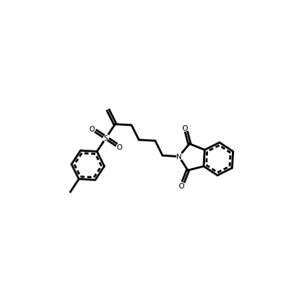 C=C(CCCCN1C(=O)c2ccccc2C1=O)S(=O)(=O)c1ccc(C)cc1